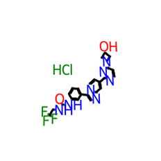 Cl.O=C(NCC(F)(F)F)Nc1cccc(-c2cnc3cc(-c4nccc(N5CC(O)C5)n4)ccn23)c1